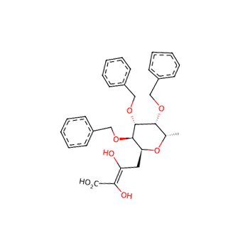 C[C@@H]1O[C@@H](CC(O)=C(O)C(=O)O)[C@@H](OCc2ccccc2)[C@H](OCc2ccccc2)[C@@H]1OCc1ccccc1